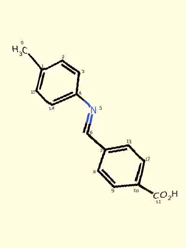 Cc1ccc(N=Cc2ccc(C(=O)O)cc2)cc1